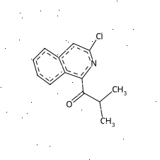 CC(C)C(=O)c1nc(Cl)cc2ccccc12